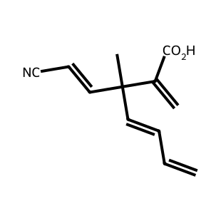 C=CC=CC(C)(C=CC#N)C(=C)C(=O)O